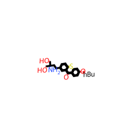 CCCCOc1ccc2c(=O)c3cc(CCC(N)(CO)CO)ccc3sc2c1